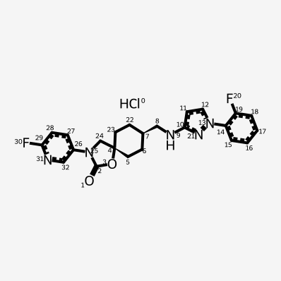 Cl.O=C1O[C@]2(CC[C@H](CNc3ccn(-c4ccccc4F)n3)CC2)CN1c1ccc(F)nc1